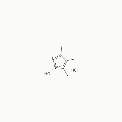 Cc1nn(O)c(C)c1C.Cl